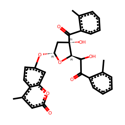 Cc1ccccc1C(=O)C(O)[C@H]1O[C@H](Oc2ccc3c(C)cc(=O)oc3c2)C[C@@]1(O)C(=O)c1ccccc1C